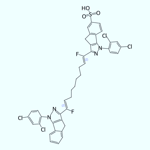 O=S(=O)(O)c1ccc2c(c1)Cc1c(/C(F)=C/CCCCCC/C=C(\F)c3nn(-c4ccc(Cl)cc4Cl)c4c3Cc3ccccc3-4)nn(-c3ccc(Cl)cc3Cl)c1-2